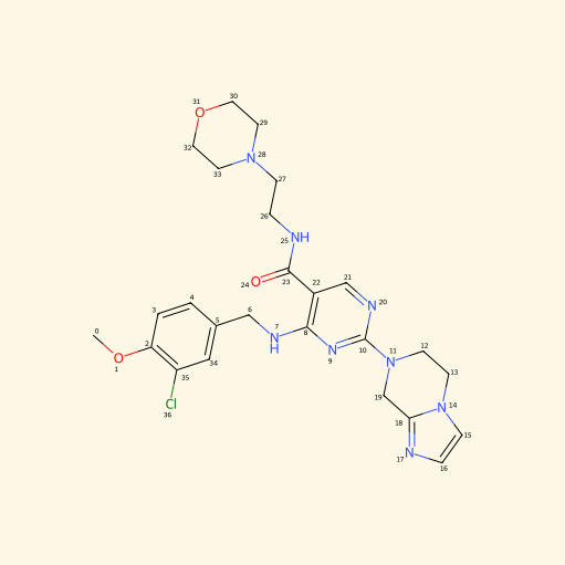 COc1ccc(CNc2nc(N3CCn4ccnc4C3)ncc2C(=O)NCCN2CCOCC2)cc1Cl